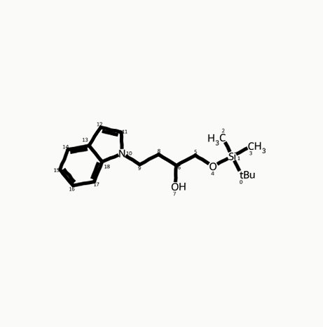 CC(C)(C)[Si](C)(C)OCC(O)CCn1ccc2ccccc21